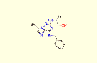 CCC(CO)Nc1nc(NCc2ccccc2)c2ncc(C(C)C)n2n1